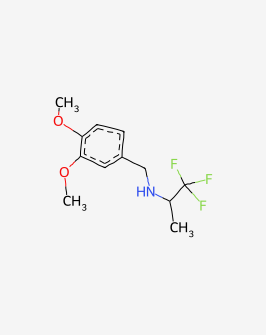 COc1ccc(CNC(C)C(F)(F)F)cc1OC